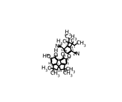 CCC1(C)c2c(C#N)c3c(c(C#N)c2C1(C)CC)Oc1cc2c(cc1O3)C(C)(C)CC21CC(C)(C)c2cc(O)c(O)cc21